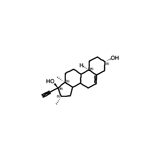 C#C[C@@]1(O)[C@@H](C)CC2C3CC=C4C[C@@H](O)CC[C@@H]4C3CC[C@@]21C